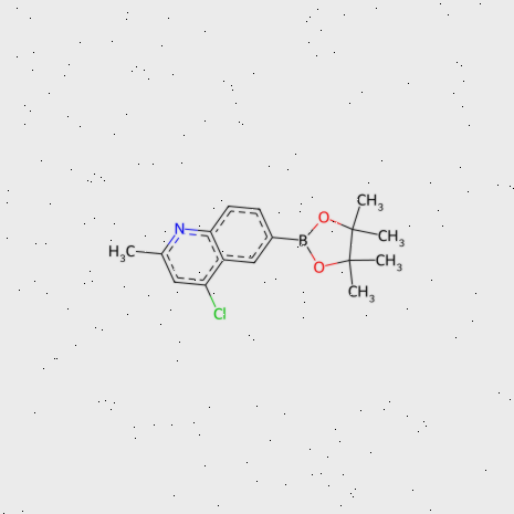 Cc1cc(Cl)c2cc(B3OC(C)(C)C(C)(C)O3)ccc2n1